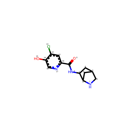 O=C(NC1CC2CNC1C2)c1cc(Cl)c(O)cn1